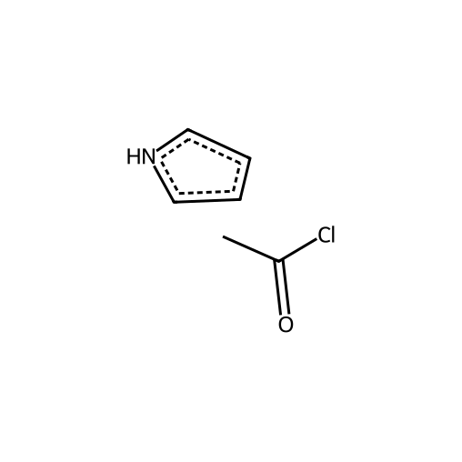 CC(=O)Cl.c1cc[nH]c1